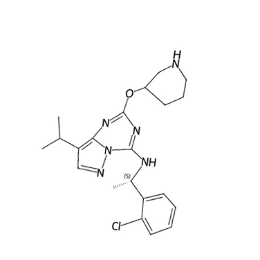 CC(C)c1cnn2c(N[C@@H](C)c3ccccc3Cl)nc(OC3CCCNC3)nc12